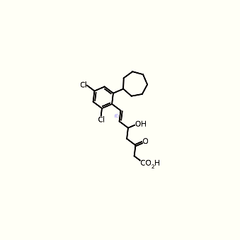 O=C(O)CC(=O)CC(O)/C=C/c1c(Cl)cc(Cl)cc1C1CCCCCC1